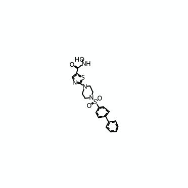 O=C(NO)c1cnc(N2CCN(S(=O)(=O)c3ccc(-c4ccccc4)cc3)CC2)s1